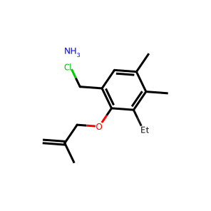 C=C(C)COc1c(CCl)cc(C)c(C)c1CC.N